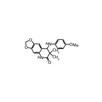 COc1ccc(NC2c3cc4c(cc3NC(=O)C2(C)C)OCO4)cc1